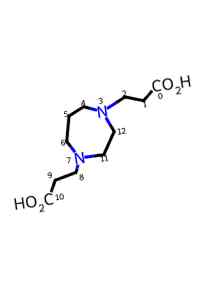 O=C(O)CCN1CCCN(CCC(=O)O)CC1